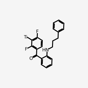 O=C(c1ccccc1NCCCc1ccccc1)c1ccc(F)[c]([Ti])c1F